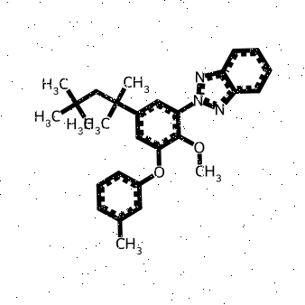 COc1c(Oc2cccc(C)c2)cc(C(C)(C)CC(C)(C)C)cc1-n1nc2ccccc2n1